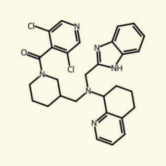 O=C(c1c(Cl)cncc1Cl)N1CCCC(CN(Cc2nc3ccccc3[nH]2)C2CCCc3cccnc32)C1